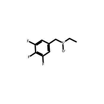 CC[S+]([O-])Cc1[c]c(F)c(F)c(F)c1